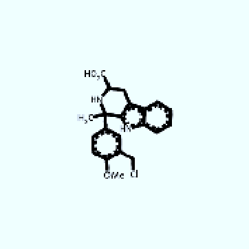 COc1ccc(C2(C)NC(C(=O)O)Cc3c2[nH]c2ccccc32)cc1CCl